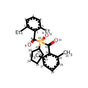 CCc1cccc(CC)c1C(=O)P(=O)(C(=O)c1c(C)cccc1C)C1CCCC1